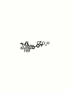 CN/C(Nc1cncc(OC2CC2)n1)=C(\C=N)c1ccc(-c2ccc(C3(C(=O)O)CC3)c(C(F)(F)F)c2)cn1